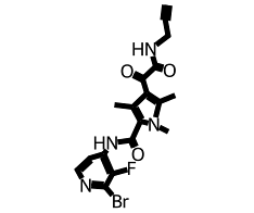 C#CCNC(=O)C(=O)c1c(C)c(C(=O)Nc2ccnc(Br)c2F)n(C)c1C